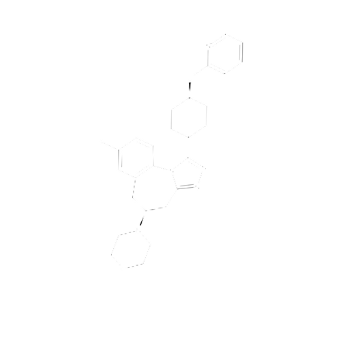 Clc1ccc2c(c1)C[C@H](N1CCOCC1)Cc1nnc([C@H]3CC[C@H](Oc4ccccn4)CC3)n1-2